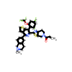 C=CC(=O)N1CCc2nc(-c3nc(-c4ccc5c(c4)CCN(C)C5)c4ccsc4c3-c3c(F)cc(F)cc3OC(F)F)sc2C1